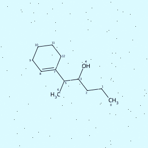 CCCC(O)C(C)C1=CCCCC1